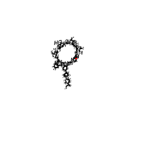 CCC(C)[C@@H]1NC(=O)[C@@H]2CCCN2C(=O)C(Cc2cccc(-c3ccc(N4CCN(C(C)C)CC4)cc3)c2)N(C)C(=O)C(Cc2ccccc2)NC(=O)CN(C)C(=O)C([C@H](C)CC)OC(=O)[C@H](C(C)(C)O)N(C)C(=O)[C@H](CC(C)C)NC(=O)[C@H](C)N(C)C1=O